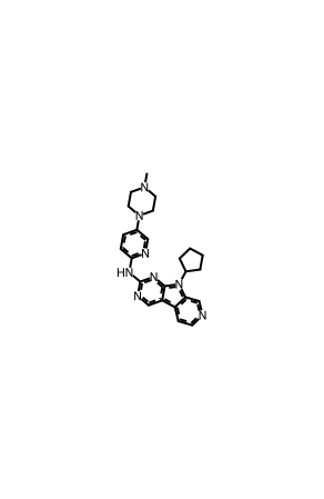 CN1CCN(c2ccc(Nc3ncc4c5ccncc5n(C5CCCC5)c4n3)nc2)CC1